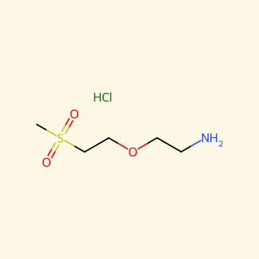 CS(=O)(=O)CCOCCN.Cl